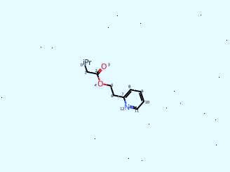 CC(C)CC(=O)OCCc1ccccn1